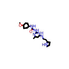 COc1ccc(NC(=O)Nc2nc(C)cc(NCCc3ccc[nH]3)n2)cc1